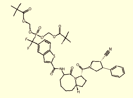 CC(C)(C)C(=O)OCOP(=O)(OCOC(=O)C(C)(C)C)C(F)(F)c1ccc2sc(C(=O)NC3CCCC[C@H]4CC[C@@H](C(=O)N5CC(c6ccccc6)[C@@H](C#N)C5)N4C3=O)cc2c1